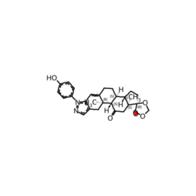 C[C@]12Cc3cnn(-c4ccc(O)cc4)c3C=C1CC[C@@H]1[C@@H]2C(=O)C[C@@]2(C)[C@H]1CC[C@@]21OCOC12COCO2